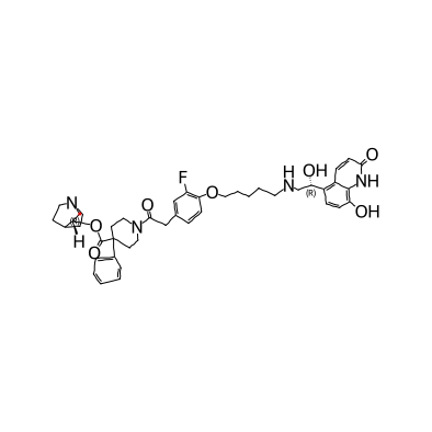 O=C(Cc1ccc(OCCCCCNC[C@H](O)c2ccc(O)c3[nH]c(=O)ccc23)c(F)c1)N1CCC(C(=O)O[C@H]2CN3CCC2CC3)(c2ccccc2)CC1